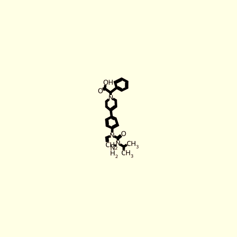 C=CN(C(=O)N(N)C(C)C)c1ccc(C2=CCN(C(C(=O)O)c3ccccc3)CC2)cc1